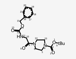 CC(C)(C)OC(=O)N1CCN(C(=O)CNC(=O)OCc2ccccc2)CC1